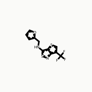 FC(F)(F)c1csc2c(NCc3ccco3)snc12